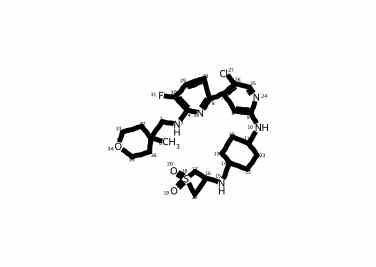 CC1(CNc2nc(-c3cc(NC4CCC(NC5CS(=O)(=O)C5)CC4)ncc3Cl)ccc2F)CCOCC1